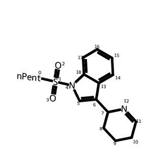 CCCCCS(=O)(=O)n1cc(C2CCCC=N2)c2ccccc21